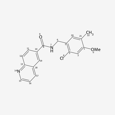 COc1cc(Cl)c(CNC(=O)c2ccc3ncccc3c2)cc1C